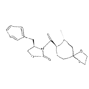 C[C@@H]1CC2(CC[C@H]1C(=O)N1C(=O)OC[C@H]1Cc1ccccc1)OCCO2